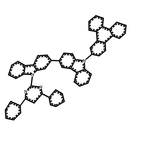 c1ccc(-c2cc(-c3ccccc3)nc(-n3c4ccccc4c4ccc(-c5ccc6c(c5)c5ccccc5n6-c5ccc6c7ccccc7c7ccccc7c6c5)cc43)n2)cc1